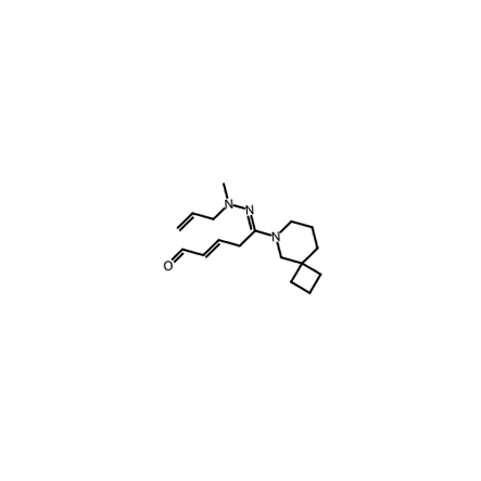 C=CCN(C)/N=C(\CC=CC=O)N1CCCC2(CCC2)C1